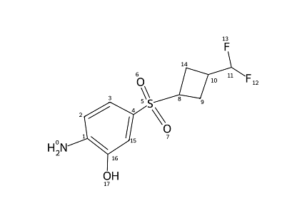 Nc1ccc(S(=O)(=O)C2CC(C(F)F)C2)cc1O